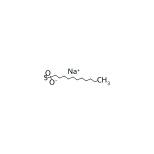 CCCCCCCCCCCC1([O-])OS1.[Na+]